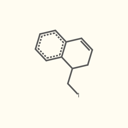 ICC1CC=Cc2ccccc21